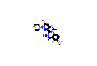 Cc1nc(N[C@H](C)c2cccc(C(F)(F)F)c2F)c2cn(N3CCOCC3)c(=O)c(F)c2n1